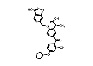 CC(C(=O)O)c1cc(C(=O)c2ccc(OC3CCCC3)cc2O)ccc1OCc1ccc2c(O)noc2c1